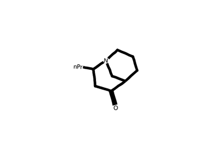 CCCC1CC(=O)C2CCCN1C2